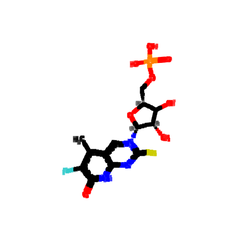 Cc1c(F)c(=O)[nH]c2nc(=S)n([C@@H]3O[C@H](COP(=O)(O)O)C(O)[C@@H]3O)cc12